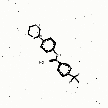 Cl.O=C(Nc1ccc([C@@H]2CNCCO2)cc1)c1ccc(C(F)(F)F)nc1